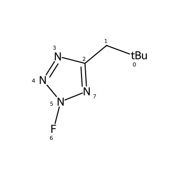 CC(C)(C)Cc1nnn(F)n1